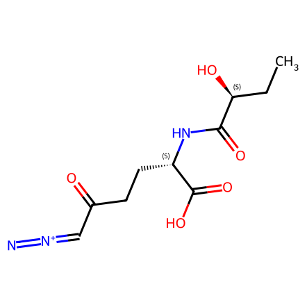 CC[C@H](O)C(=O)N[C@@H](CCC(=O)C=[N+]=[N-])C(=O)O